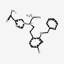 C[C@H](O)[C@@H](CCc1ccc(Cl)cc1OCc1ccccc1)n1cnc(C(N)=O)c1